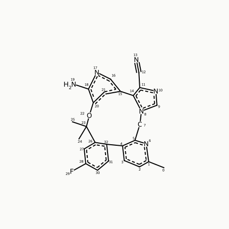 Cc1ccc2c(n1)Cn1cnc(C#N)c1-c1cnc(N)c(c1)OC(C)(C)c1cc(F)ccc1-2